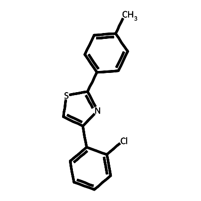 Cc1ccc(-c2nc(-c3ccccc3Cl)cs2)cc1